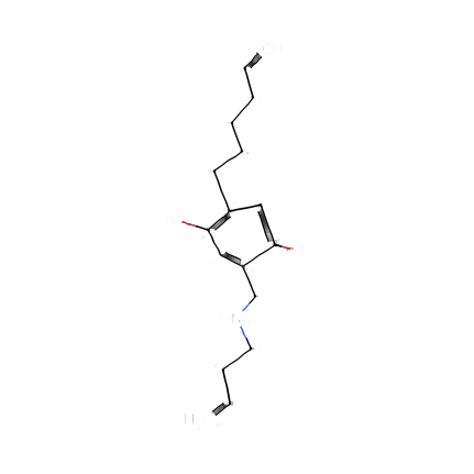 C=CCCCCc1cc(Br)c(CNCCC=C)cc1Br